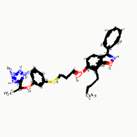 CCCc1c(OCCCSc2cccc(OC(C)c3nnn[nH]3)c2)ccc2c(-c3ccccc3)noc12